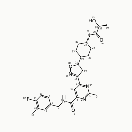 Cc1nc(C(=O)NCc2ccc(F)c(C)c2)cc(C2=NOC(C3CCC(=NC(=O)[C@H](C)O)CC3)C2)n1